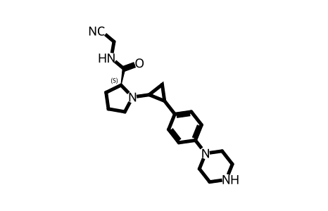 N#CCNC(=O)[C@@H]1CCCN1C1CC1c1ccc(N2CCNCC2)cc1